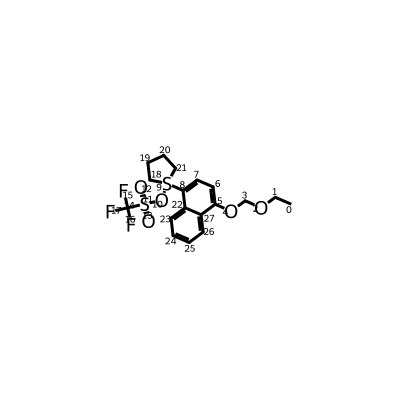 CCOCOc1ccc(S2(OS(=O)(=O)C(F)(F)F)CCCC2)c2ccccc12